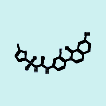 Cc1ccc(S(=O)(=O)NC(=O)Nc2ccc(-n3ccc4ccc(S)cc4c3=O)c(F)c2)s1